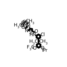 CC(C)Oc1cc(OC(F)(F)F)cc(C(C)(C)c2cc(Cl)cc(NC(=O)c3cc4nc(N(S(C)(=O)=O)S(C)(=O)=O)cnc4s3)c2)c1